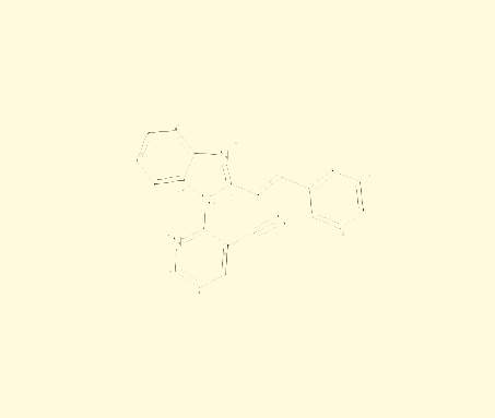 N#Cc1cccnc1-n1c(/C=C/c2ccccc2)nc2ccccc21